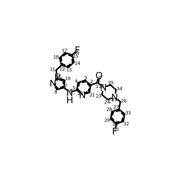 O=C(c1ccc(Nc2cnn(Cc3ccc(F)cc3)c2)nc1)N1CCN(Cc2ccc(F)cc2)CC1